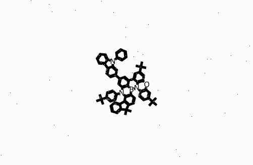 CC(C)(C)c1ccc(N2c3cc(-c4ccc5c6ccccc6n(-c6ccccc6)c5c4)cc4c3B(c3ccc5c(c32)-c2ccccc2C5(C)C)N2c3ccc(C(C)(C)C)cc3Oc3cc(C(C)(C)C)cc-4c32)cc1